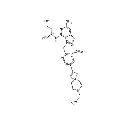 CCC[C@@H](CCO)Nc1nc(N)nc2cnn(Cc3ncc(C4=CC5(CCN(CC6CC6)CC5)C4)cc3OC)c12